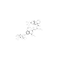 COc1cc(CO[Si](C)(C)C(C)(C)C)cc(OC)c1OC(=O)NCC(C)OC(=O)C1(NC(=O)OC(C)(C)C)CCOCC1